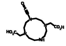 O=P#CN1CCN(CC(=O)O)CCNCCN(CC(=O)O)CC1